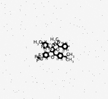 COC(=O)[C@H](OC1=C(C(=O)c2ccc(C(C)C)cc2)[C@H](c2ccc(OC(F)(F)F)cc2)N(c2ccc(C)nn2)C1=O)c1ccccc1